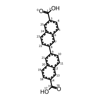 O=C(O)c1ccc2cc(-c3ccc4cc(C(=O)O)ccc4c3)ccc2c1